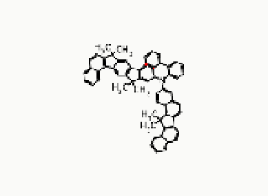 CC1(C)c2cc(N(c3ccc4c5c(ccc4c3)-c3ccc4ccccc4c3C5(C)C)c3ccccc3-c3ccccc3)ccc2-c2cc3c(cc21)-c1c(ccc2ccccc12)C3(C)C